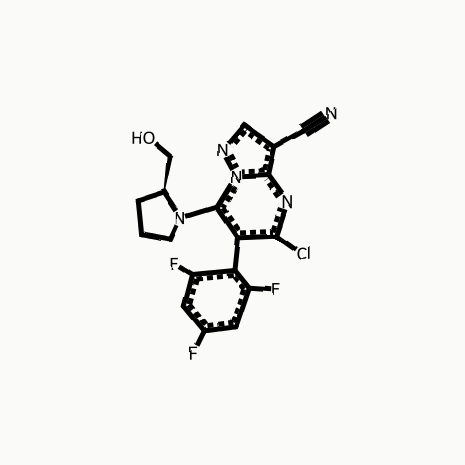 N#Cc1cnn2c(N3CCC[C@H]3CO)c(-c3c(F)cc(F)cc3F)c(Cl)nc12